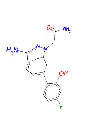 NC(=O)CN1N=C(N)C2=CC=C(c3ccc(F)cc3O)CC21